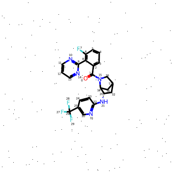 O=C(c1cccc(F)c1-c1ncccn1)N1CC2CC1[C@@H](Nc1ccc(C(F)(F)F)cn1)C2